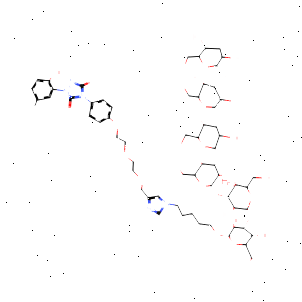 CCc1ccc(O)c(-n2[nH]c(=O)n(-c3ccc(OCCOCCOCc4cn(CCCCCO[C@@H]5OC(CO)[C@@H](O)[C@H](O[C@@H]6OC(CO)[C@@H](O)[C@H](O[C@@H]7OC(CO)[C@@H](O)[C@H](O[C@@H]8OC(CO)[C@@H](O)[C@H](O[C@@H]9OC(CO)[C@@H](O)[C@H](O[C@@H]%10OC(CO)[C@@H](O)[C@H](O)C%10O)C9O)C8O)C7O)C6O)C5O)cn4)cc3)c2=O)c1